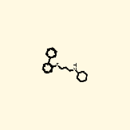 c1ccc(-c2ccccc2SCCCNC2CCCCC2)cc1